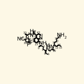 C=C(CC/C(=C/C)NCC(=C)NC(/C=C/C)CCCCN)Nc1cccc2c(C(=C)NCC(=C)N3CC(F)(F)CC3C#N)ccnc12